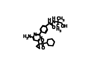 CC(C)(CO)NC(=O)Nc1ccc(-c2nc(N)cc(C3(S(=O)(=O)C4CCCCC4)CC3)n2)cc1